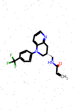 C=CC(=O)NC[C@H]1Cc2ncccc2N(c2ccc(C(F)(F)F)cc2)C1